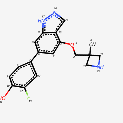 N#CC1(COc2cc(-c3ccc(O)c(F)c3)cc3[nH]ncc23)CNC1